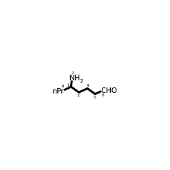 CCCC(N)CCCC=O